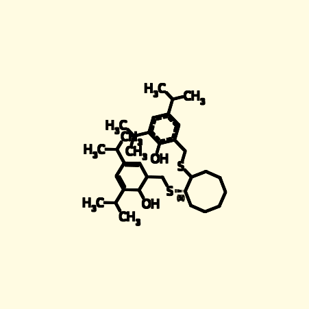 CC(C)C1=CC(CS[C@H]2CCCCCCC2SCc2cc(C(C)C)cc(C(C)C)c2O)C(O)C(C(C)C)=C1